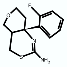 NC1=N[C@@]2(c3ccccc3F)CCOCC2CS1